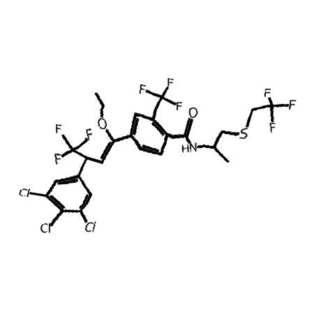 CCO/C(=C\C(c1cc(Cl)c(Cl)c(Cl)c1)C(F)(F)F)c1ccc(C(=O)NC(C)CSCC(F)(F)F)c(C(F)(F)F)c1